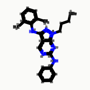 CNCCCn1nc(Nc2c(C)cccc2C)c2cnc(Nc3ccccc3)nc21